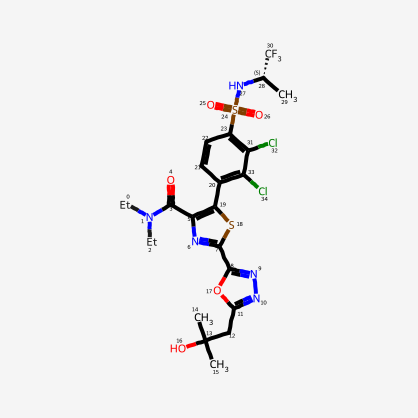 CCN(CC)C(=O)c1nc(-c2nnc(CC(C)(C)O)o2)sc1-c1ccc(S(=O)(=O)N[C@@H](C)C(F)(F)F)c(Cl)c1Cl